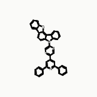 c1ccc(-c2cc(-c3cnc(-n4c5ccccc5c5c6oc7ccccc7c6ccc54)cn3)cc(-c3ccccc3)n2)cc1